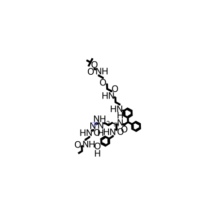 CCC(=O)NCCNC(=O)/N=C(/N)NCCC[C@@H](NC(=O)C(c1ccccc1)c1cccc(NCCCNC(=O)CCOCCNC(=O)OC(C)(C)C)c1)C(=O)NCc1ccc(O)cc1